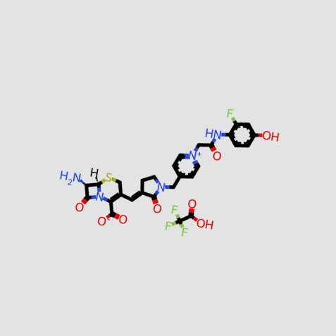 N[C@@H]1C(=O)N2C(C(=O)[O-])=C(C=C3CCN(Cc4cc[n+](CC(=O)Nc5ccc(O)cc5F)cc4)C3=O)CS[C@H]12.O=C(O)C(F)(F)F